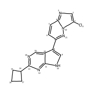 Clc1cnc2ccc(-c3c[nH]c4nc(C5CCC5)ncc34)nn12